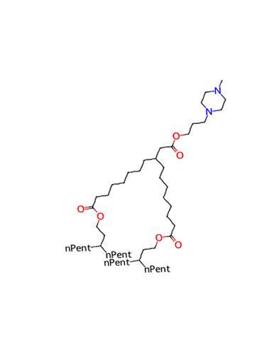 CCCCCC(CCCCC)CCOC(=O)CCCCCCCC(CCCCCCCC(=O)OCCC(CCCCC)CCCCC)CC(=O)OCCCN1CCN(C)CC1